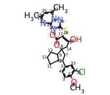 COc1ccc(CCC2(C3CCCC3)CC(O)=C(Sc3nc4nc(C)cc(C)n4n3)C(=O)O2)cc1Cl